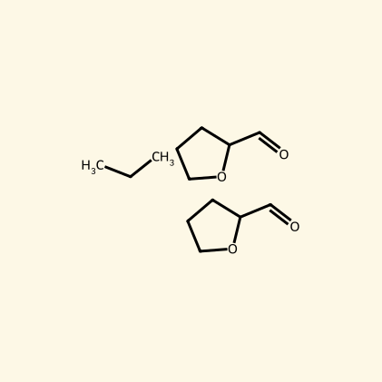 CCC.O=CC1CCCO1.O=CC1CCCO1